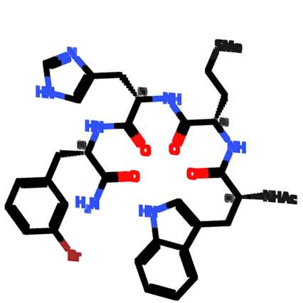 CSCC[C@H](NC(=O)[C@@H](Cc1c[nH]c2ccccc12)NC(C)=O)C(=O)N[C@@H](Cc1c[nH]cn1)C(=O)N[C@@H](Cc1cccc(Br)c1)C(N)=O